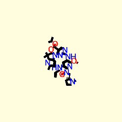 C=CC(=O)Nc1cc(Nc2ncc(C(=O)OC(C)C)c(N3CC(C)(C)c4nc(C)ccc43)n2)c(OC)nc1N(C)C[C@@H]1CCCN1C